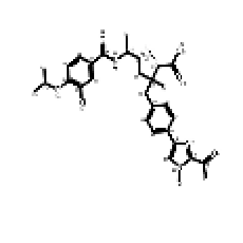 CC(=O)c1nc(-c2ccc(CC(C)(CC[C@H](C)NC(=O)c3ccc(OC(C)C)c(Cl)c3)[C@H](N)C(=O)O)cc2)cn1C